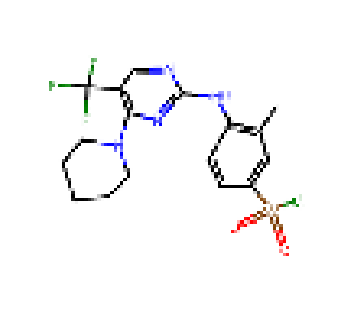 Cc1cc(S(=O)(=O)Cl)ccc1Nc1ncc(C(F)(F)F)c(N2CCCCC2)n1